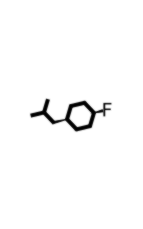 CC(C)C[C@H]1CC[C@@H](F)CC1